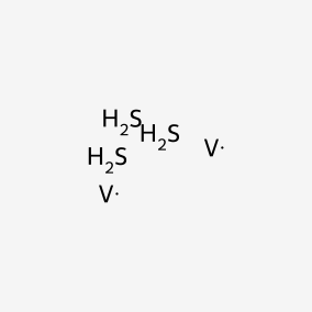 S.S.S.[V].[V]